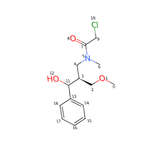 COC[C@H](CN(C)C(=O)CCl)C(O)c1ccccc1